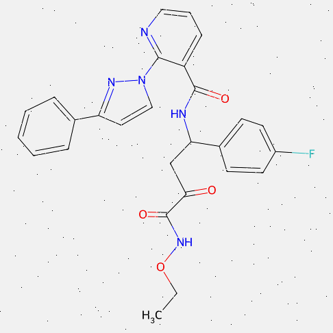 CCONC(=O)C(=O)CC(NC(=O)c1cccnc1-n1ccc(-c2ccccc2)n1)c1ccc(F)cc1